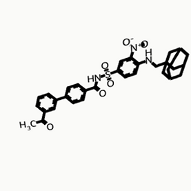 CC(=O)c1cccc(-c2ccc(C(=O)NS(=O)(=O)c3ccc(NCC45CC6CC(CC(C6)C4)C5)c([N+](=O)[O-])c3)cc2)c1